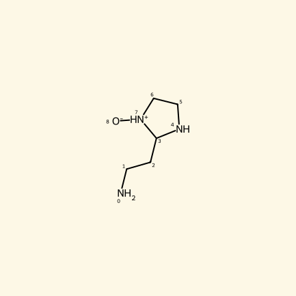 NCCC1NCC[NH+]1[O-]